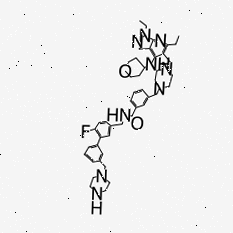 CCc1nc2c(cnn2CC)c(NC2CCOCC2)c1CN1CCN(Cc2cccc(C(=O)NCc3ccc(F)c(-c4cccc(CN5CCNCC5)c4)c3)c2)CC1